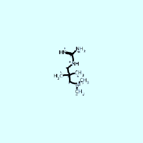 CN(C)CC(C)(C)CNC(=N)N